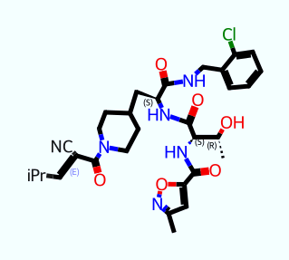 Cc1cc(C(=O)N[C@H](C(=O)N[C@@H](CC2CCN(C(=O)/C(C#N)=C/C(C)C)CC2)C(=O)NCc2ccccc2Cl)[C@@H](C)O)on1